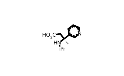 CC(C)N[C@@](C)(CC(=O)O)c1cccnc1